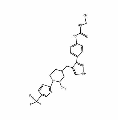 CCNC(=O)Nc1ccc(-c2n[nH]cc2CN2CCN(c3ccc(C(F)(F)F)cn3)C(C)C2)cc1